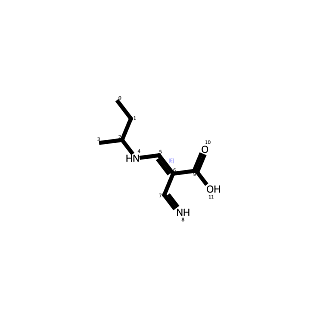 CCC(C)N/C=C(\C=N)C(=O)O